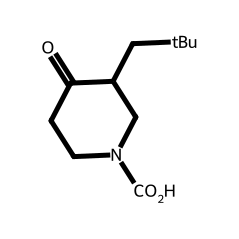 CC(C)(C)CC1CN(C(=O)O)CCC1=O